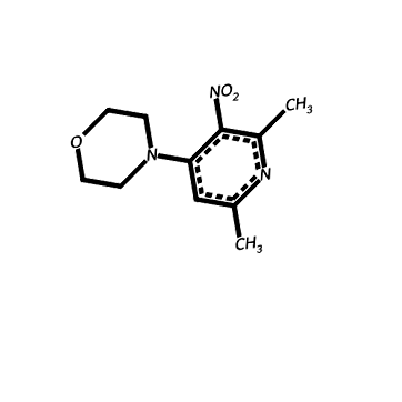 Cc1cc(N2CCOCC2)c([N+](=O)[O-])c(C)n1